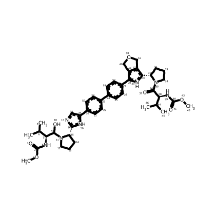 COC(=O)N[C@@H](C(C)C)C(O)N1CCC[C@H]1c1ncc(-c2ccc(-c3ccc(-c4[nH]c([C@@H]5CCCN5C(=O)[C@@H](NC(=O)OC)C(C)C)c5c4COC5)cc3)cc2)[nH]1